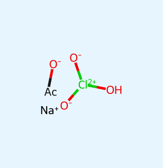 CC(=O)[O-].[Na+].[O-][Cl+2]([O-])O